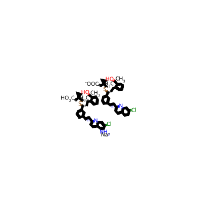 CC(C)(O)c1ccccc1CC[C@@H](SCC1(CC(=O)O)CC1)c1cccc(/C=C/c2ccc3ccc(Cl)cc3n2)c1.CC(C)(O)c1ccccc1CC[C@@H](SCC1(CC(=O)[O-])CC1)c1cccc(/C=C/c2ccc3ccc(Cl)cc3n2)c1.N.[Na+]